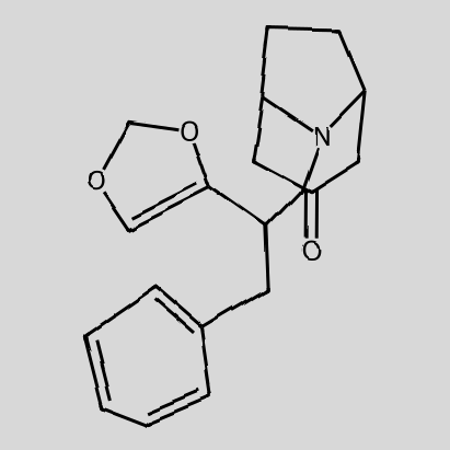 O=C1CC2CCC(C1)N2CC(Cc1ccccc1)C1=COCO1